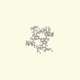 Cc1cc(C(=O)Nc2nc3cc(C(N)=O)cc(OCCCN4CCOCC4)c3n2C/C=C/Cn2c(NC(=O)c3cc(C)nn3CC(F)(F)F)nc3cc(C(N)=O)c4oc(C)cc4c32)n(CC(F)(F)F)n1